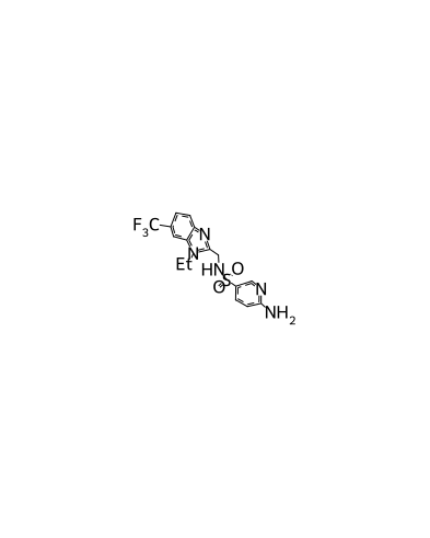 CCn1c(CNS(=O)(=O)c2ccc(N)nc2)nc2ccc(C(F)(F)F)cc21